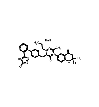 CCCc1nc(C)n(-c2ccc3c(c2)C(=O)CC(C)(C)O3)c(=O)c1Cc1ccc(-c2ccccc2-c2noc(=O)[nH]2)cc1.[NaH]